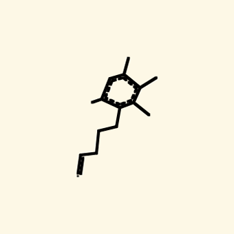 [CH]=CCCCc1c(C)cc(C)c(C)c1C